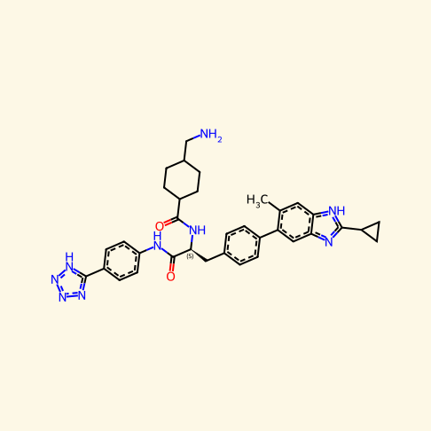 Cc1cc2[nH]c(C3CC3)nc2cc1-c1ccc(C[C@H](NC(=O)C2CCC(CN)CC2)C(=O)Nc2ccc(-c3nnn[nH]3)cc2)cc1